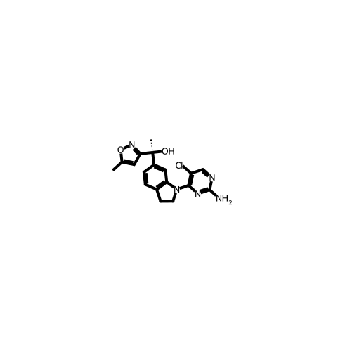 Cc1cc([C@@](C)(O)c2ccc3c(c2)N(c2nc(N)ncc2Cl)CC3)no1